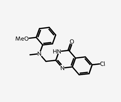 COc1ccccc1N(C)Cc1nc2ccc(Cl)cc2c(=O)[nH]1